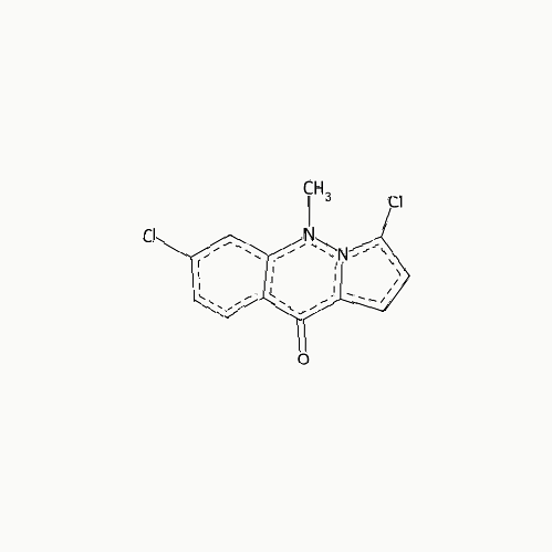 Cn1c2cc(Cl)ccc2c(=O)c2ccc(Cl)n21